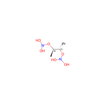 CC(C)[C@H](ON(O)O)[C@@H](C)ON(O)O